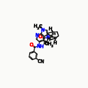 Cc1c(NC(=O)c2cccc(C#N)c2)cnc2c1c([C@@H]1[C@@H]3CC[C@H]1CN(C(=O)C(C)C)C3)cn2C